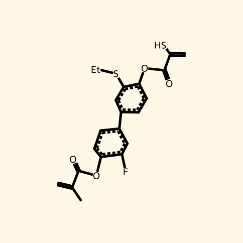 C=C(C)C(=O)Oc1ccc(-c2ccc(OC(=O)C(=C)S)c(SCC)c2)cc1F